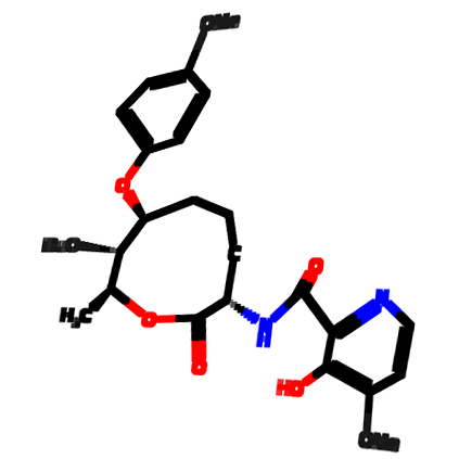 COc1ccc(O[C@H]2CCC[C@H](NC(=O)c3nccc(OC)c3O)C(=O)O[C@@H](C)[C@@H]2OCC(C)C)cc1